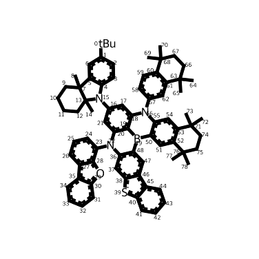 CC(C)(C)c1ccc2c(c1)C1(C)CCCCC1(C)N2c1cc2c3c(c1)N(c1cccc4c1oc1ccccc14)c1cc4sc5ccccc5c4cc1B3c1cc3c(cc1N2c1ccc2c(c1)C(C)(C)CCC2(C)C)C(C)(C)CCC3(C)C